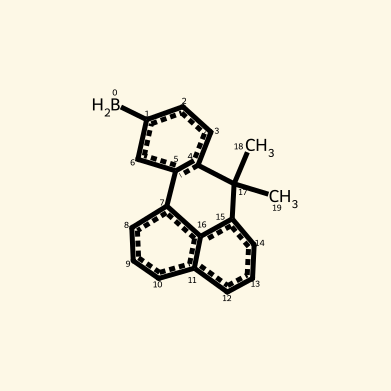 Bc1ccc2c(c1)-c1cccc3cccc(c13)C2(C)C